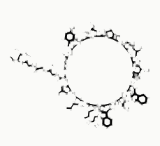 CCCC[C@H]1C(=O)N(C)[C@@H](CCCC)C(=O)N[C@@H](CC(C)C)C(=O)N[C@H](C(=O)NCC(=O)NCC(=O)NCC(=O)N[C@@H](CC)C(=O)O)CSCC(=O)N[C@@H](Cc2ccc(O)cc2)C(=O)N(C)[C@@H](C)C(=O)N[C@@H](CC(N)=O)C(=O)N2CCC[C@H]2C(=O)N[C@@H](CN)C(=O)N[C@@H](CC(C)C)C(=O)N2C[C@H](O)C[C@H]2C(=O)N[C@@H](Cc2c[nH]c3ccccc23)C(=O)N[C@@H](CCN)C(=O)N[C@@H](Cc2cn(CC(=O)O)c3ccccc23)C(=O)N1C